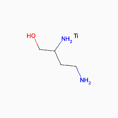 NCCC(N)CO.[Ti]